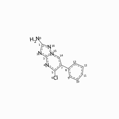 Nc1nc2nc(Cl)c(-c3ccccc3)cn2n1